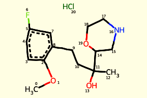 COc1ccc(F)cc1CCC(C)(O)C1CNCCO1.Cl